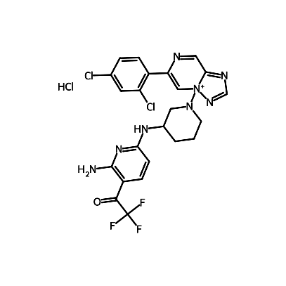 Cl.Nc1nc(NC2CCCN([N+]34C=C(c5ccc(Cl)cc5Cl)N=CC3=NC=N4)C2)ccc1C(=O)C(F)(F)F